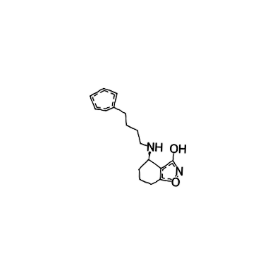 Oc1noc2c1[C@H](NCCCCc1ccccc1)CCC2